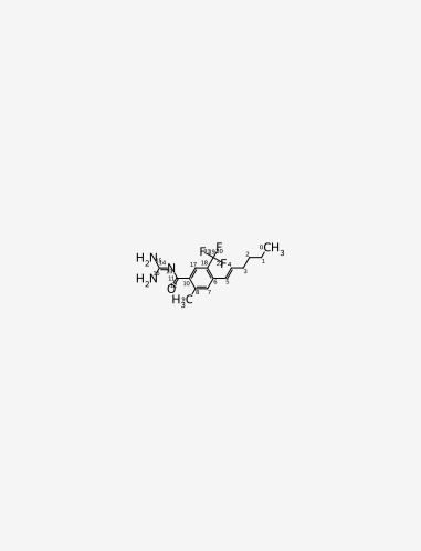 CCCC/C=C/c1cc(C)c(C(=O)N=C(N)N)cc1C(F)(F)F